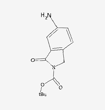 CC(C)(C)OC(=O)N1Cc2ccc(N)cc2C1=O